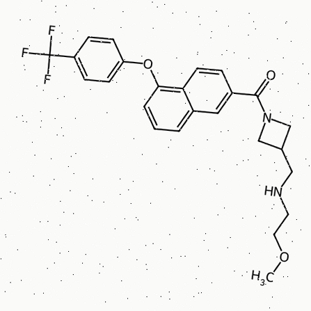 COCCNCC1CN(C(=O)c2ccc3c(Oc4ccc(C(F)(F)F)cc4)cccc3c2)C1